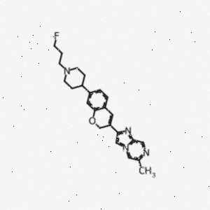 Cc1cn2cc(C3=Cc4ccc(C5CCN(CCCF)CC5)cc4OC3)nc2cn1